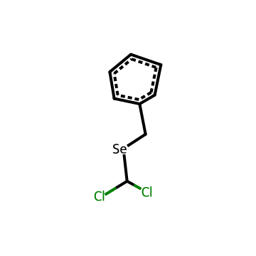 ClC(Cl)[Se]Cc1ccccc1